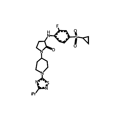 CC(C)c1nsc(N2CCC(N3CCC(Nc4ccc(S(=O)(=O)C5CC5)cc4F)C3=O)CC2)n1